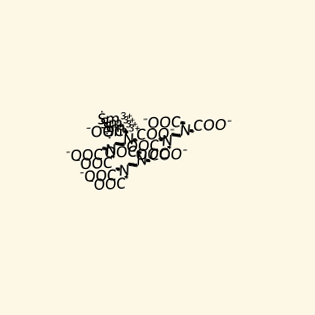 O=C([O-])CN(CCN(CC(=O)[O-])CC(=O)[O-])CC(=O)[O-].O=C([O-])CN(CCN(CC(=O)[O-])CC(=O)[O-])CC(=O)[O-].O=C([O-])CN(CCN(CC(=O)[O-])CC(=O)[O-])CC(=O)[O-].[Sm+3].[Sm+3].[Sm+3].[Sm+3]